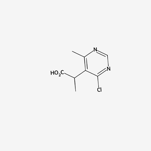 Cc1ncnc(Cl)c1C(C)C(=O)O